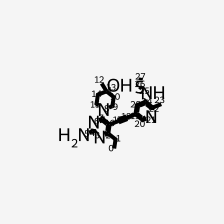 CCc1nc(N)nc(N2CCC(C)(O)CC2)c1C#Cc1cnc(C)c(NSC)c1